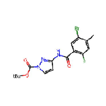 Cc1cc(F)c(C(=O)Nc2ccn(C(=O)OC(C)(C)C)n2)cc1Br